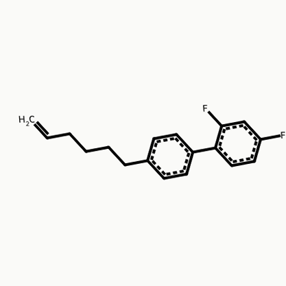 C=CCCCCc1ccc(-c2ccc(F)cc2F)cc1